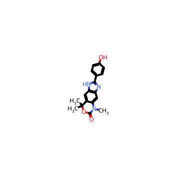 CN1C(=O)OC(C)(C)c2cc3[nH]c(-c4ccc(O)cc4)nc3cc21